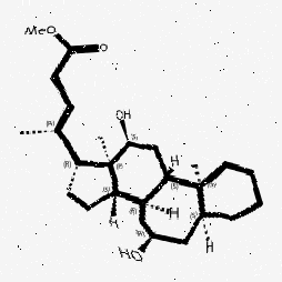 COC(=O)CC[C@@H](C)[C@H]1CC[C@H]2[C@@H]3[C@H](O)C[C@@H]4CCCC[C@]4(C)[C@H]3C[C@H](O)[C@]12C